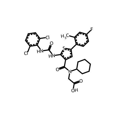 Cc1cc(F)ccc1-c1cc(C(=O)N(CC(=O)O)C2CCCCC2)c(NC(=O)Nc2c(Cl)cccc2Cl)s1